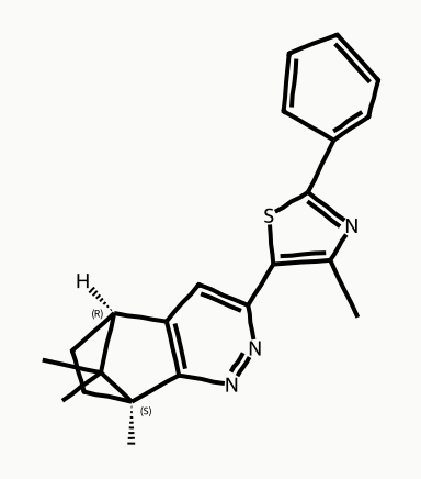 Cc1nc(-c2ccccc2)sc1-c1cc2c(nn1)[C@@]1(C)CC[C@@H]2C1(C)C